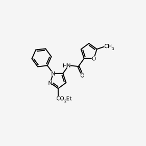 CCOC(=O)c1cc(NC(=O)c2ccc(C)o2)n(-c2ccccc2)n1